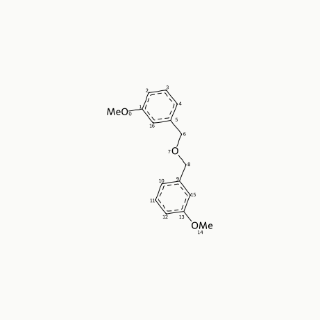 COc1cccc(COCc2cccc(OC)c2)c1